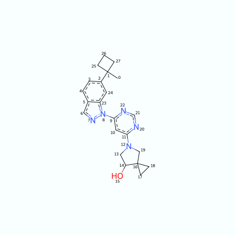 CC1(c2ccc3cnn(-c4cc(N5CC(O)C6(CC6)C5)ncn4)c3c2)CCC1